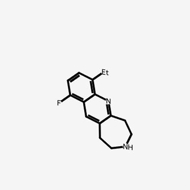 CCc1ccc(F)c2cc3c(nc12)CCNCC3